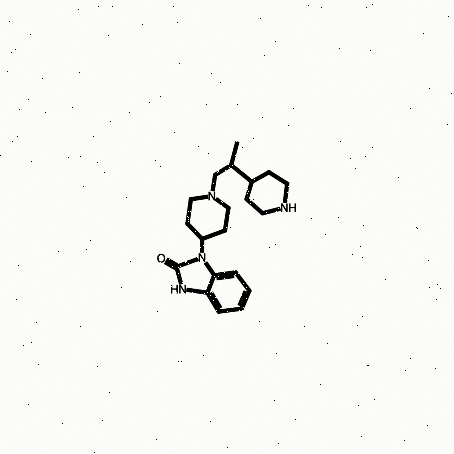 CC(CN1CCC(n2c(=O)[nH]c3ccccc32)CC1)C1CCNCC1